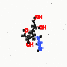 [N-]=[N+]=N[C@H]1[C@@H]([C@@H](O)CO)OC[C@@H]1O